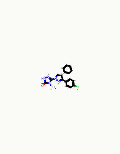 Cn1c(N2C[C@H](c3ccccc3)C(c3ccc(Cl)cc3)=N2)n[nH]c1=O